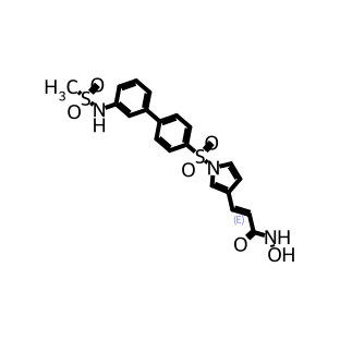 CS(=O)(=O)Nc1cccc(-c2ccc(S(=O)(=O)n3ccc(/C=C/C(=O)NO)c3)cc2)c1